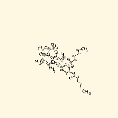 CCCCCC(=O)Oc1ccc(C[C@H](N)C(=O)O[C@@H](C)C(C)OC(=O)C(C)C(C)C)cc1OC(=O)CCCCC